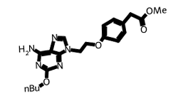 CCCCOc1nc(N)c2ncn(CCOc3ccc(CC(=O)OC)cc3)c2n1